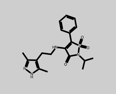 Cc1n[nH]c(C)c1CCNC1=C(c2ccccc2)S(=O)(=O)N(C(C)C)C1=O